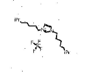 CC(C)CCCCCn1cc[n+](CCCCCC(C)C)c1.F[B-](F)(F)F